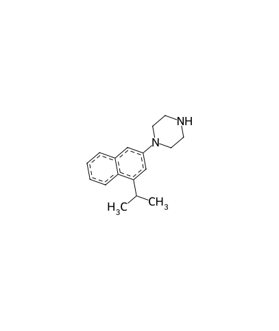 CC(C)c1cc(N2CCNCC2)cc2ccccc12